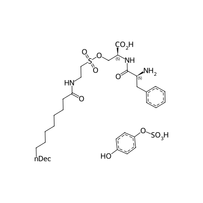 CCCCCCCCCCCCCCCCCC(=O)NCCS(=O)(=O)OC[C@H](NC(=O)[C@@H](N)Cc1ccccc1)C(=O)O.O=S(=O)(O)Oc1ccc(O)cc1